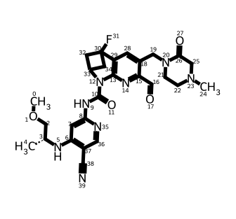 COC[C@@H](C)Nc1cc(NC(=O)N2c3nc(C=O)c(CN4CCN(C)CC4=O)cc3C3(F)CC2C3)ncc1C#N